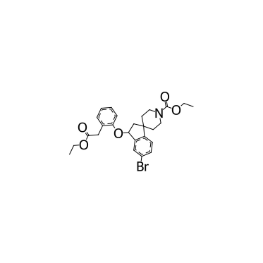 CCOC(=O)Cc1ccccc1OC1CC2(CCN(C(=O)OCC)CC2)c2ccc(Br)cc21